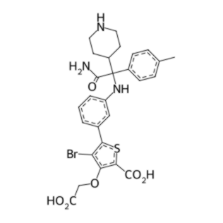 Cc1ccc(C(Nc2cccc(-c3sc(C(=O)O)c(OCC(=O)O)c3Br)c2)(C(N)=O)C2CCNCC2)cc1